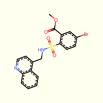 COC(=O)c1cc(Br)ccc1S(=O)(=O)NCc1ccnc2ccccc12